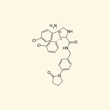 N[C@]1(c2ccc(Cl)cc2)CNC(C(=O)NCc2ccc(N3CCCC3=O)cc2)[C@@H]1c1cccc(Cl)c1